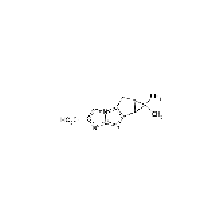 CC1(C)C2Cc3c(sc4nc(C(=O)O)cn34)C21